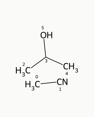 CC#N.CC(C)O